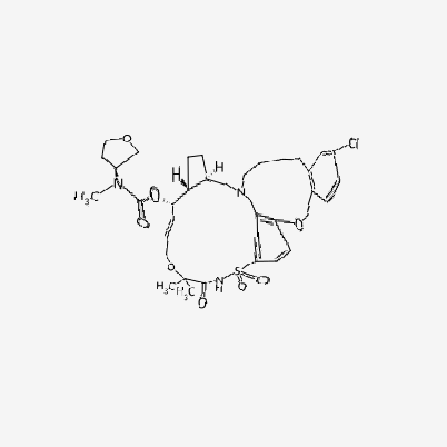 CN(C(=O)O[C@H]1/C=C/COC(C)(C)C(=O)NS(=O)(=O)c2ccc3c(c2)N(CCCCc2cc(Cl)ccc2CO3)C[C@@H]2CC[C@H]21)[C@H]1CCOC1